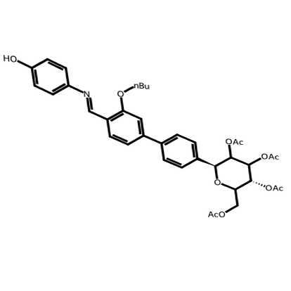 CCCCOc1cc(-c2ccc([C@@H]3OC(COC(C)=O)[C@@H](OC(C)=O)C(OC(C)=O)C3OC(C)=O)cc2)ccc1/C=N/c1ccc(O)cc1